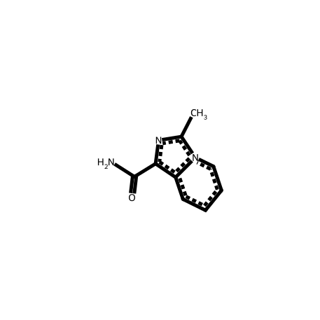 Cc1nc(C(N)=O)c2ccccn12